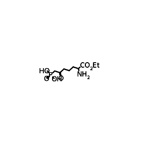 CCOC(=O)C(N)CCCC(=O)CP(=O)(O)O